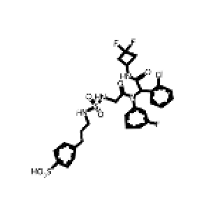 O=C(NC1CC(F)(F)C1)C(c1ccccc1Cl)N(C(=O)CNS(=O)(=O)NCCCc1ccc(S(=O)(=O)O)cc1)c1cccc(F)c1